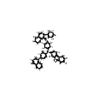 c1ccc2c(-c3ccc(N(c4ccc(-n5c6ccccc6c6ccc7ccccc7c65)cc4)c4ccc5c(c4)oc4ccccc45)cc3)cccc2c1